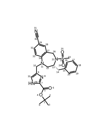 CC(C)(C)OC(=O)c1nc(CN2C[C@@H](Cc3ccccc3)N(S(C)(=O)=O)Cc3cc(C#N)ccc32)c[nH]1